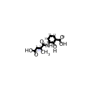 C/C(=C\C(=O)O)C(=O)Nc1cccc(C(=O)O)c1O